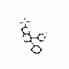 Cn1cc(-c2c(-c3ccccc3)cnc3cc([Si](C)(C)C)oc23)cn1